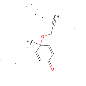 C#CCOC1(C)C=CC(=O)C=C1